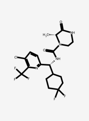 C[C@@H]1C(=O)NCCN1C(=O)N[C@@H](c1ccc(Cl)c(C(F)(F)F)n1)C1CCC(F)(F)CC1